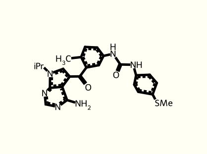 CSc1ccc(NC(=O)Nc2ccc(C)c(C(=O)c3cn(C(C)C)c4ncnc(N)c34)c2)cc1